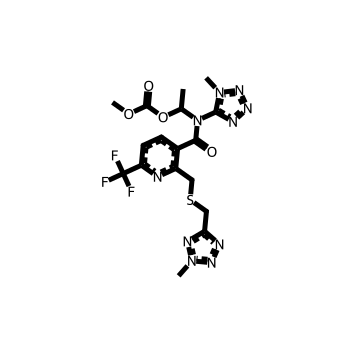 COC(=O)OC(C)N(C(=O)c1ccc(C(F)(F)F)nc1CSCc1nnn(C)n1)c1nnnn1C